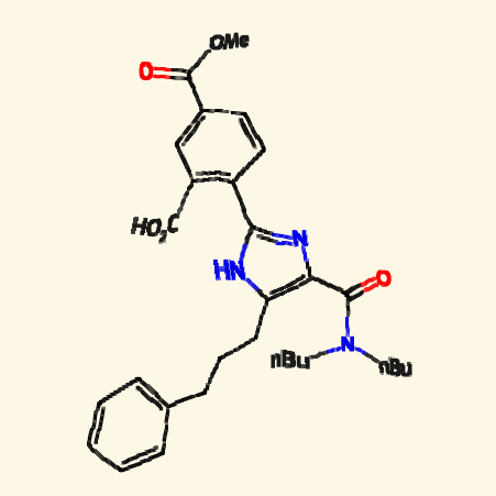 CCCCN(CCCC)C(=O)c1nc(-c2ccc(C(=O)OC)cc2C(=O)O)[nH]c1CCCc1ccccc1